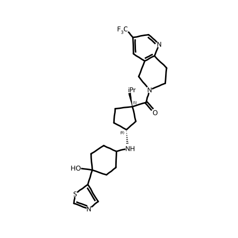 CC(C)[C@]1(C(=O)N2CCc3ncc(C(F)(F)F)cc3C2)CC[C@@H](NC2CCC(O)(c3cncs3)CC2)C1